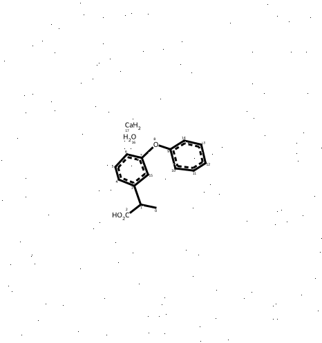 CC(C(=O)O)c1cccc(Oc2ccccc2)c1.O.[CaH2]